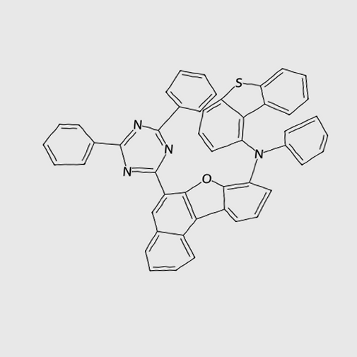 c1ccc(-c2nc(-c3ccccc3)nc(-c3cc4ccccc4c4c3oc3c(N(c5ccccc5)c5cccc6sc7ccccc7c56)cccc34)n2)cc1